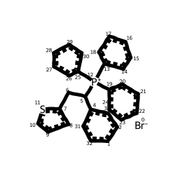 [Br-].c1ccc(C(Cc2cccs2)[P+](c2ccccc2)(c2ccccc2)c2ccccc2)cc1